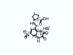 Br.O=C(O)[C@H]1CCC[C@H]1NCc1cc([N+](=O)[O-])cc2[nH]c(=O)c(=O)[nH]c12